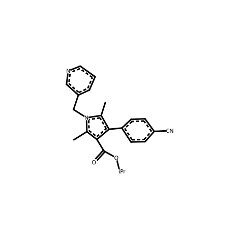 Cc1c(C(=O)OC(C)C)c(-c2ccc(C#N)cc2)c(C)n1Cc1cccnc1